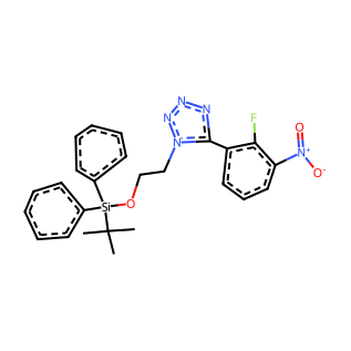 CC(C)(C)[Si](OCCn1nnnc1-c1cccc([N+](=O)[O-])c1F)(c1ccccc1)c1ccccc1